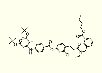 CCCCOC(=O)c1cccc(CN(CC)C(=O)CCc2ccc(OC(=O)c3ccc(N/C(=N/C(=O)OC(C)(C)C)NC(=O)OC(C)(C)C)cc3)cc2Cl)c1